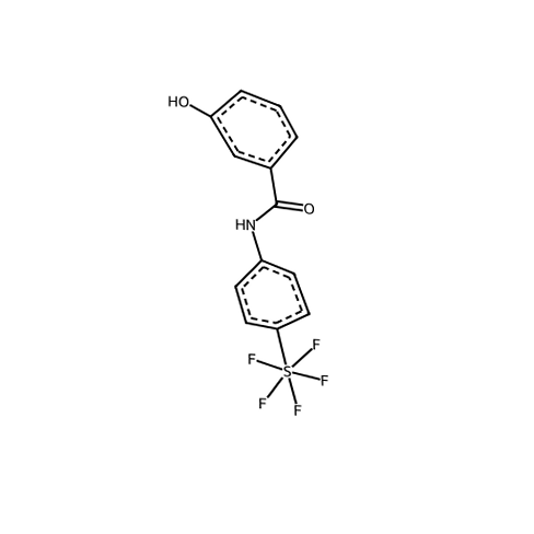 O=C(Nc1ccc(S(F)(F)(F)(F)F)cc1)c1cccc(O)c1